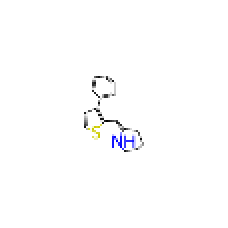 C(=C1CCCCN1)c1sccc1-c1ccccc1